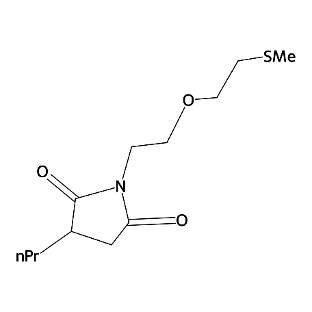 CCCC1CC(=O)N(CCOCCSC)C1=O